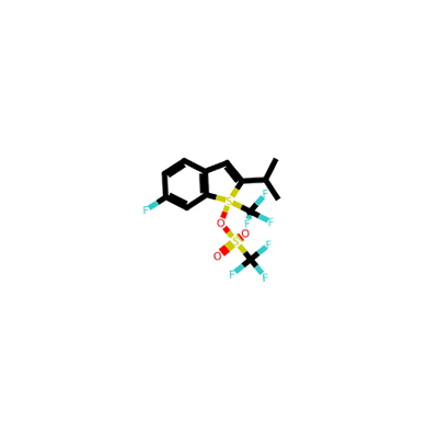 CC(C)C1=Cc2ccc(F)cc2S1(OS(=O)(=O)C(F)(F)F)C(F)(F)F